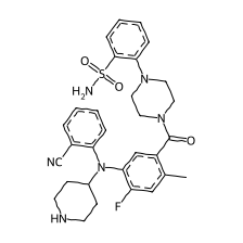 Cc1cc(F)c(N(c2ccccc2C#N)C2CCNCC2)cc1C(=O)N1CCN(c2ccccc2S(N)(=O)=O)CC1